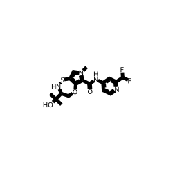 Cn1cc2c(c1C(=O)Nc1ccnc(C(F)F)c1)OCC(C(C)(C)O)NS2